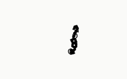 c1cc(CC2CCC3(CCC(COCCN4CCCC4)CC3)CC2)co1